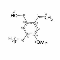 C=Cc1cc(OC)c(C=C)cc1CO